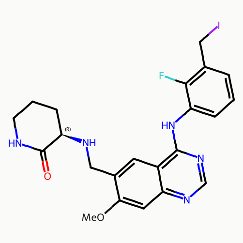 COc1cc2ncnc(Nc3cccc(CI)c3F)c2cc1CN[C@@H]1CCCNC1=O